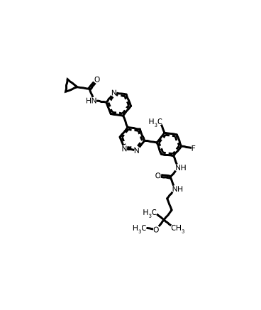 COC(C)(C)CCNC(=O)Nc1cc(-c2cc(-c3ccnc(NC(=O)C4CC4)c3)cnn2)c(C)cc1F